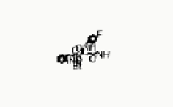 CCC(=O)N[C@@H](Cc1ccccc1)C(=O)N[C@@H](CCC(=O)C=N)C(=O)NCc1ccc(F)cc1